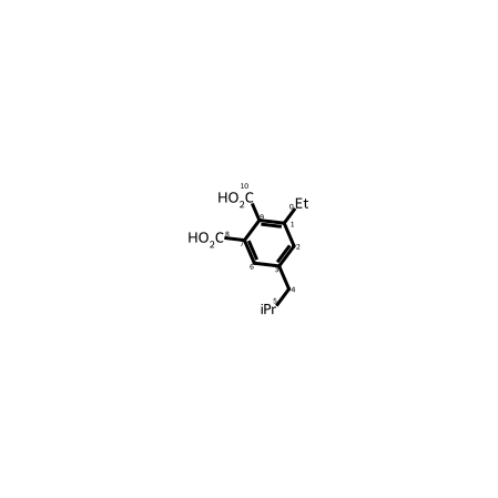 CCc1cc(CC(C)C)cc(C(=O)O)c1C(=O)O